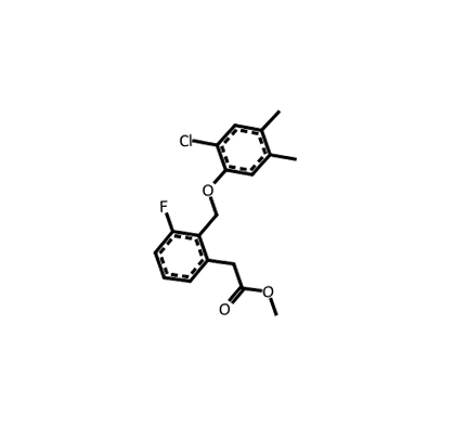 COC(=O)Cc1cccc(F)c1COc1cc(C)c(C)cc1Cl